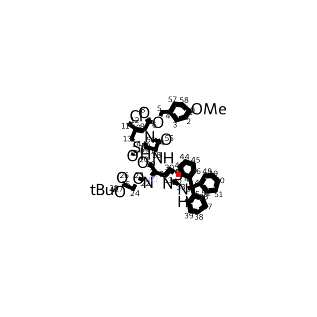 COc1ccc(COC(=O)C2=C(CCl)C[S+]([O-])[C@@H]3C(NC(=O)/C(=N\OCC(=O)OC(C)(C)C)c4csc(NC(c5ccccc5)(c5ccccc5)c5ccccc5)n4)C(=O)N23)cc1